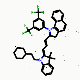 CC1(C)/C(=C\C=C\C2=[N+](c3cc(C(F)(F)F)cc(C(F)(F)F)c3)c3c(ccc4ccccc34)C2)N(CCC2CCCCC2)c2ccccc21